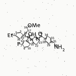 CCc1cccc(-c2c(F)cccc2[C@](O)(CCCCOC)[C@@H]2CCCN(C(=O)c3ccc(CN)cc3)C2)c1